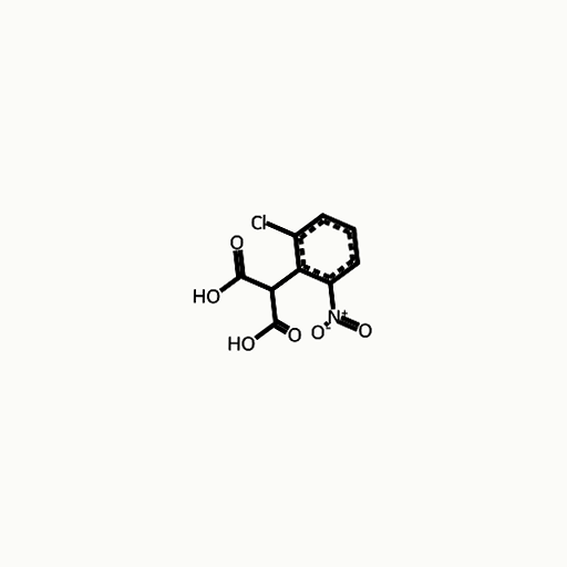 O=C(O)C(C(=O)O)c1c(Cl)cccc1[N+](=O)[O-]